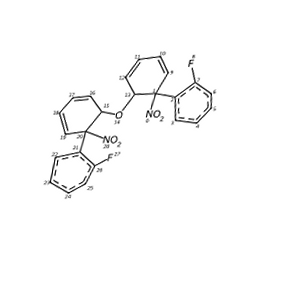 O=[N+]([O-])C1(c2ccccc2F)C=CC=CC1OC1C=CC=CC1(c1ccccc1F)[N+](=O)[O-]